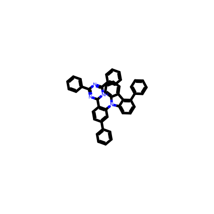 c1ccc(C2=NC(c3ccc(-c4ccccc4)cc3-n3c4ccccc4c4c(-c5ccccc5)cccc43)NC(c3ccccc3)=N2)cc1